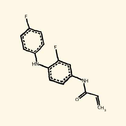 C=CC(=O)Nc1ccc(Nc2ccc(F)cc2)c(F)c1